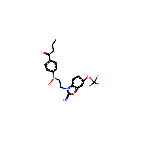 CCCC(=O)c1ccc([S+]([O-])CCn2c(=N)sc3cc(OC(F)(F)F)ccc32)cc1